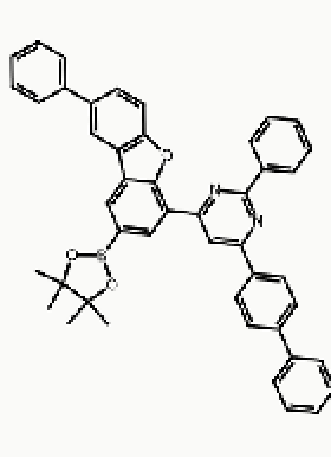 CC1(C)OB(c2cc(-c3cc(-c4ccc(-c5ccccc5)cc4)nc(-c4ccccc4)n3)c3oc4ccc(-c5ccccc5)cc4c3c2)OC1(C)C